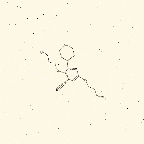 CCCCOc1cc([N+]#N)c(OCCCC)c(N2CCOCC2)c1